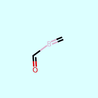 C=BC=O